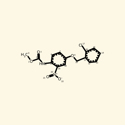 COC(=O)Nc1ccc(OCc2ccccc2Cl)cc1[N+](=O)[O-]